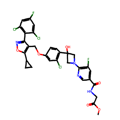 COC(=O)CNC(=O)c1cnc(N2CC(O)(c3ccc(OCc4c(-c5c(Cl)cc(F)cc5Cl)noc4C4CC4)cc3Cl)C2)c(F)c1